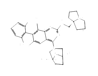 Oc1cccc(F)c1-c1c(Cl)cc2c(N3C[C@H]4CC[C@@H](C3)N4)nc(OC[C@@]34CCCN3C[C@H](F)C4)nc2c1F